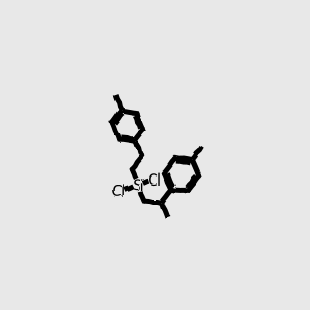 Cc1ccc(CC[Si](Cl)(Cl)CC(C)c2ccc(C)cc2)cc1